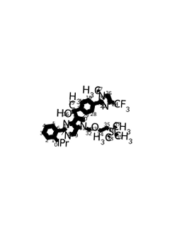 CC(C)c1ccccc1-c1ncc2c(n1)c(C(C)(O)c1ccc(-c3nc(C(F)(F)F)cn3C)cc1)cn2COCC[Si](C)(C)C